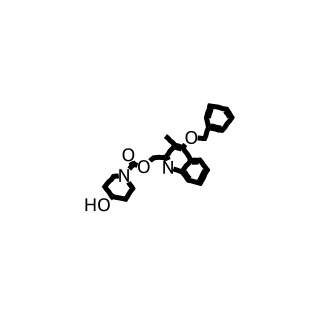 Cc1c(COC(=O)N2CCC(O)CC2)nc2ccccc2c1OCc1ccccc1